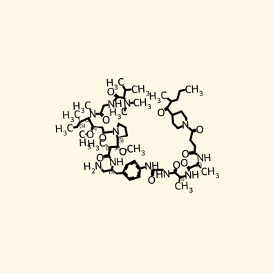 CCCC(C)C(=O)C1CCN(C(=O)CCC(=O)N[C@@H](C)C(=O)N[C@@H](C)C(=O)NCC(=O)Nc2ccc(C[C@@H](CN)NC(=O)[C@H](C)[C@@H](OC)[C@@H]3CCCN3C(=O)C[C@@H](OC)[C@H]([C@@H](C)CC)N(C)C(=O)CNC(=O)C(C(C)C)N(C)C)cc2)CC1